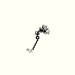 CCCCCCCCCCc1ccc(-c2noc(CNC(=O)C(NC(=O)O)C(C)CC)n2)cc1